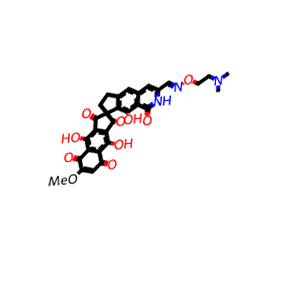 COC1=CC(=O)c2c(O)c3c(c(O)c2C1=O)C(=O)C1(CCc2cc4cc(/C=N/OCCN(C)C)[nH]c(=O)c4c(O)c21)C3=O